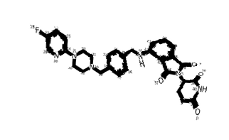 O=C1CCC(N2C(=O)c3cccc(NCc4ccc(CN5CCN(c6ccc(F)cn6)CC5)cc4)c3C2=O)C(=O)N1